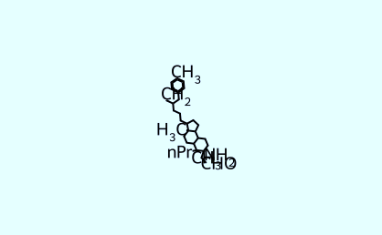 C=CC(CCCC1CCC2C3CCC(N)(CC=O)C(C)(CCC)C3CCC12C)Cc1ccc(C)cc1